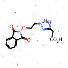 O=C(O)Cc1nnn(CCON2C(=O)c3ccccc3C2=O)n1